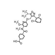 COc1nc(OCc2c(-c3c(Cl)cccc3Cl)noc2C(C)C)ccc1N(C)C(=O)c1ccc(C(=O)O)cc1